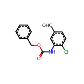 O=Cc1ccc(Cl)c(NC(=O)OCc2ccccc2)c1